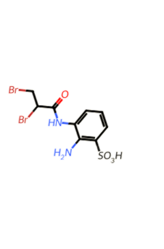 Nc1c(NC(=O)C(Br)CBr)cccc1S(=O)(=O)O